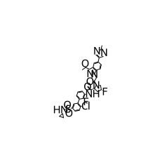 CC(=O)c1nn(CC(=O)N2C[C@H](F)C[C@H]2C(=O)Nc2cccc(-c3cc(S(=O)(=O)NC4CC4)ccc3Cl)c2F)c2ccc(-c3cnc(C)nc3)cc12